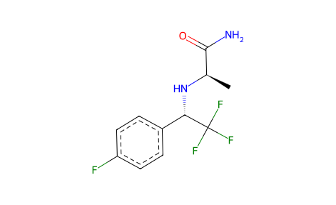 C[C@@H](N[C@@H](c1ccc(F)cc1)C(F)(F)F)C(N)=O